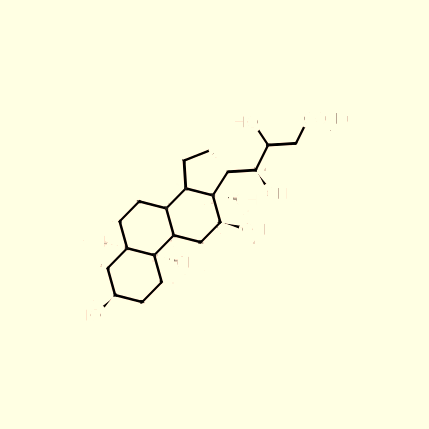 CCOC(=O)CC(O)[C@@H](C)[C@H]1CCC2C3CC[C@@H]4C[C@H](O)CC[C@]4(C)C3C[C@H](O)[C@@]21C